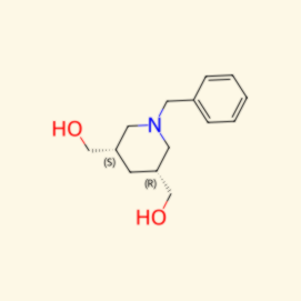 OC[C@@H]1C[C@H](CO)CN(Cc2ccccc2)C1